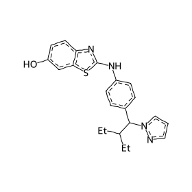 CCC(CC)C(c1ccc(Nc2nc3ccc(O)cc3s2)cc1)n1cccn1